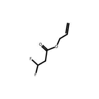 C=CCOC(=O)CC(F)F